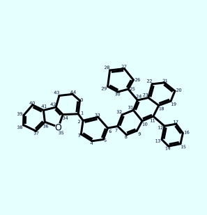 C1=C(c2cccc(-c3ccc4c(-c5ccccc5)c5ccccc5c(-c5ccccc5)c4c3)c2)c2oc3ccccc3c2CC1